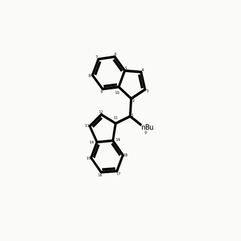 CCCCC(C1C=Cc2ccccc21)C1C=Cc2ccccc21